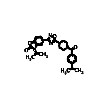 CC(C)c1ccc(C(=O)N2CCC(c3nc(-c4ccc5oc(=O)n(C(C)C)c5c4)no3)CC2)cc1